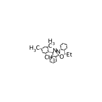 CCC(Oc1nnc(-c2c(C)cc(C)cc2C)c2ccccc12)c1ccccc1